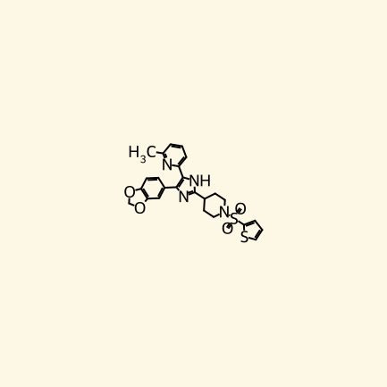 Cc1cccc(-c2[nH]c(C3CCN(S(=O)(=O)c4cccs4)CC3)nc2-c2ccc3c(c2)OCO3)n1